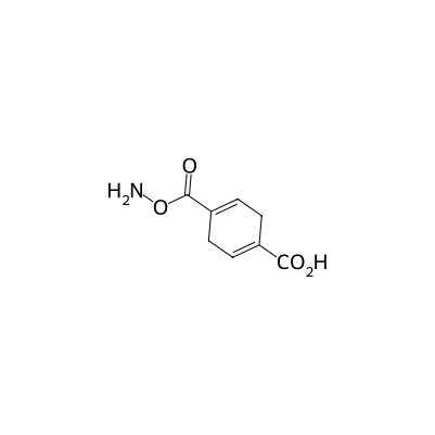 NOC(=O)C1=CCC(C(=O)O)=CC1